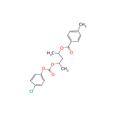 Cc1ccc(C(=O)OC(C)CC(C)OC(=O)Oc2ccc(Cl)cc2)cc1